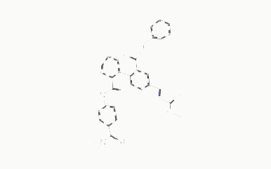 COC(=O)/C=C/c1ccc(-c2ccccc2C(=O)Nc2ccc(C(=N)N)cc2)c(C(=O)OCc2ccccc2)c1